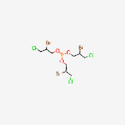 ClCC(Br)COP(OCC(Br)CCl)OCC(Br)CCl